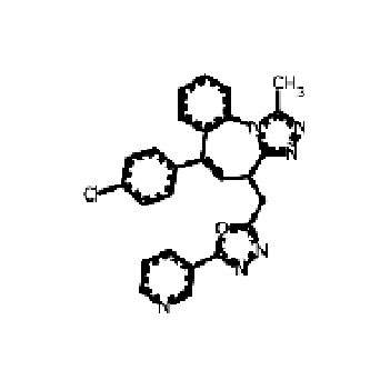 Cc1nnc2n1-c1ccccc1C(c1ccc(Cl)cc1)=CC2Cc1nnc(-c2cccnc2)o1